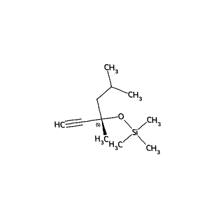 C#C[C@](C)(CC(C)C)O[Si](C)(C)C